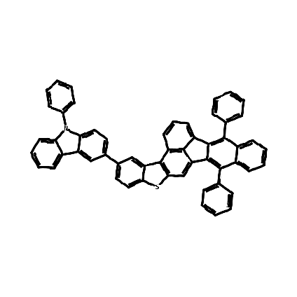 c1ccc(-c2c3c(c(-c4ccccc4)c4ccccc24)-c2cc4sc5ccc(-c6ccc7c(c6)c6ccccc6n7-c6ccccc6)cc5c4c4cccc-3c24)cc1